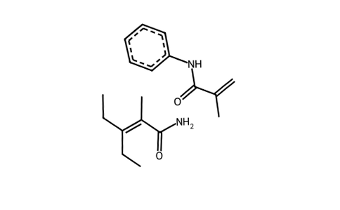 C=C(C)C(=O)Nc1ccccc1.CCC(CC)=C(C)C(N)=O